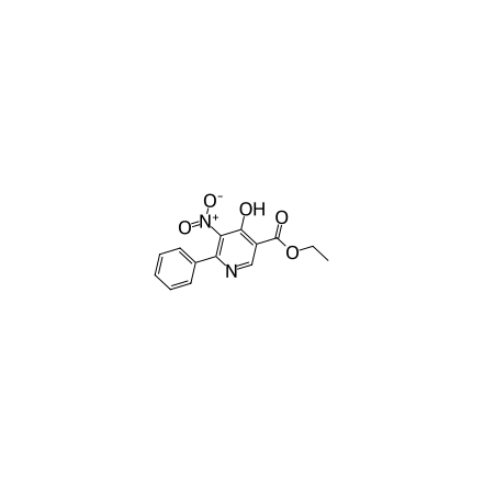 CCOC(=O)c1cnc(-c2ccccc2)c([N+](=O)[O-])c1O